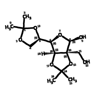 CC1(C)OC[C@H]([C@H]2O[C@@H](O)[C@@]3(CO)OC(C)(C)O[C@@H]23)O1